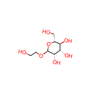 OCCO[C@H]1O[C@H](CO)[C@@H](O)[C@H](O)[C@@H]1O